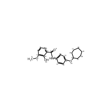 COc1ccnc(C(=O)Nc2ccc(OC3CCCCCC3)cc2)c1O